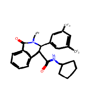 CC(C)N1C(=O)c2ccccc2C(C(=O)NC2CCCC2)C1c1cc(C(F)(F)F)cc(C(F)(F)F)c1